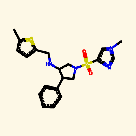 Cc1ccc(CNC2CN(S(=O)(=O)c3cn(C)cn3)CC2c2ccccc2)s1